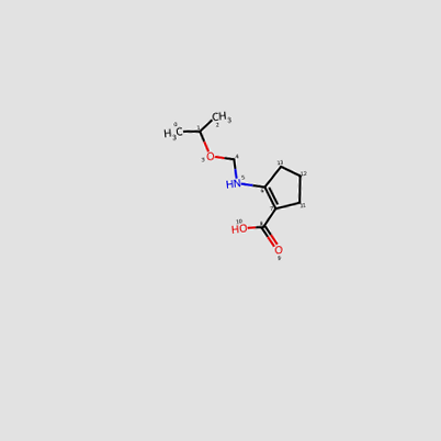 CC(C)OCNC1=C(C(=O)O)CCC1